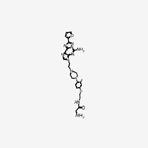 NCC(=O)NCCOc1ccc(N2CCN(CCn3cnc4c3nc(N)n3nc(-c5ccco5)nc43)CC2)c(F)c1